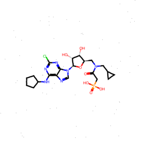 O=C(CP(=O)(O)O)N(CC1CC1)C[C@H]1O[C@@H](n2cnc3c(NC4CCCC4)nc(Cl)nc32)[C@H](O)[C@@H]1O